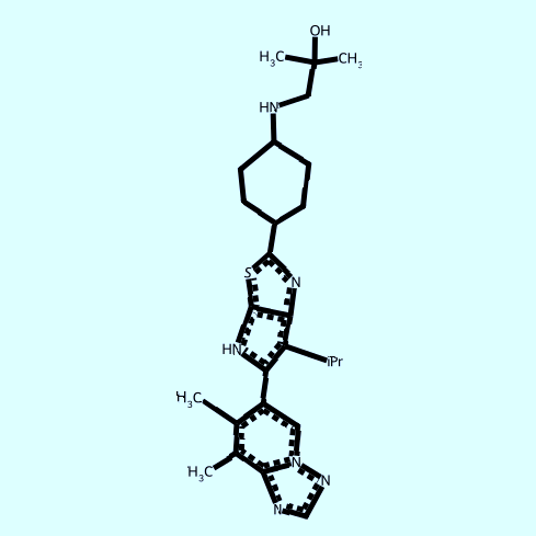 Cc1c(-c2[nH]c3sc(C4CCC(NCC(C)(C)O)CC4)nc3c2C(C)C)cn2ncnc2c1C